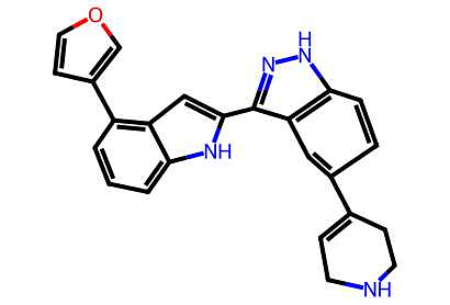 C1=C(c2ccc3[nH]nc(-c4cc5c(-c6ccoc6)cccc5[nH]4)c3c2)CCNC1